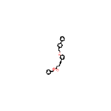 O=C(CCC#Cc1cccc(OCCc2ccc(-c3ccccc3)cc2)c1)OCc1ccccc1